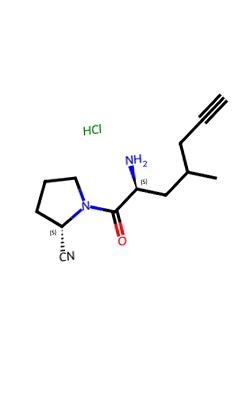 C#CCC(C)C[C@H](N)C(=O)N1CCC[C@H]1C#N.Cl